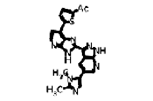 CC(=O)c1ccc(-c2ccnc3[nH]c(-c4n[nH]c5ncc(-c6cnc(C)n6C)cc45)nc23)s1